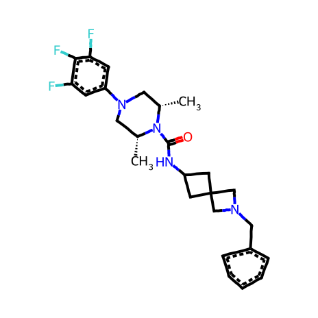 C[C@@H]1CN(c2cc(F)c(F)c(F)c2)C[C@H](C)N1C(=O)NC1CC2(C1)CN(Cc1ccccc1)C2